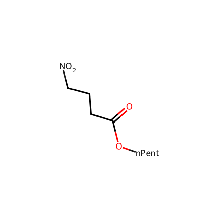 CCCCCOC(=O)CCC[N+](=O)[O-]